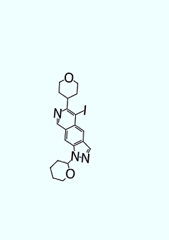 Ic1c(C2CCOCC2)ncc2cc3c(cnn3C3CCCCO3)cc12